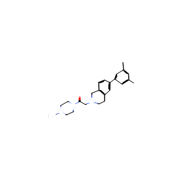 Cc1cc(C)cc(-c2ccc3c(c2)CCN(CC(=O)N2CCN(C(C)C)CC2)C3)c1